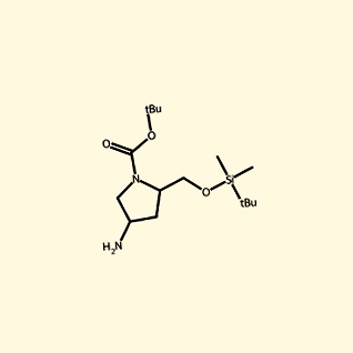 CC(C)(C)OC(=O)N1CC(N)CC1CO[Si](C)(C)C(C)(C)C